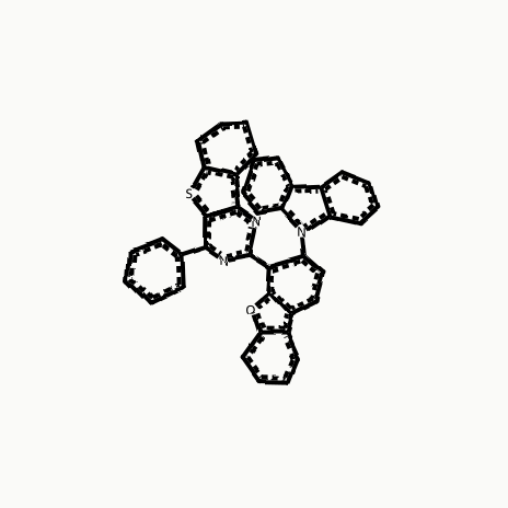 c1ccc(-c2nc(-c3c(-n4c5ccccc5c5ccccc54)ccc4c3oc3ccccc34)nc3c2sc2ccccc23)cc1